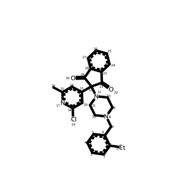 CCc1ccccc1CN1CCN(C2(c3cc(C)nc(Cl)c3)C(=O)c3ccccc3C2=O)CC1